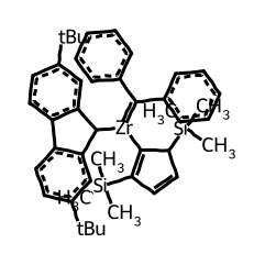 CC(C)(C)c1ccc2c(c1)[CH]([Zr]([C]1=C([Si](C)(C)C)C=CC1[Si](C)(C)C)=[C](c1ccccc1)c1ccccc1)c1cc(C(C)(C)C)ccc1-2